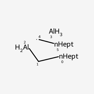 CCCCCCC[CH2][AlH2].[AlH3].[CH2]CCCCCCC